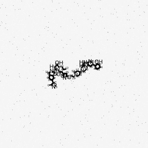 Cc1ncsc1-c1ccc([C@H](C)NC(=O)[C@@H]2C[C@@H](O)CN2C(=O)[C@@H](c2cc(OCCN3CC[C@@H](N4CCN5c6cc(-c7ccccc7O)nnc6NC[C@@H]5C4)C[C@H]3C)no2)C(C)C)cc1